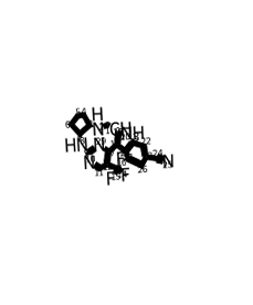 CCN[C@H]1CCC[C@@H]1Nc1ncc(C(F)(F)F)c(-c2c[nH]c3cc(C#N)ccc23)n1